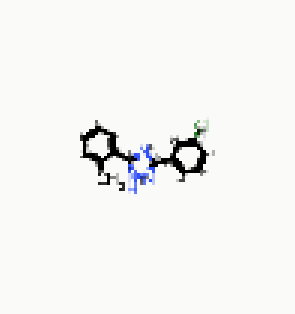 Cc1ccccc1-c1nc(-c2cccc(Cl)c2)n[nH]1